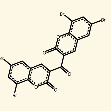 O=C(c1cc2cc(Br)cc(Br)c2oc1=O)c1cc2cc(Br)cc(Br)c2oc1=O